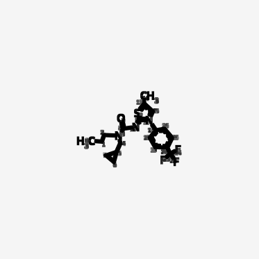 CCCN(CC1CC1)C(=O)N=c1sc(C)cn1-c1ccc(C(F)(F)F)cc1